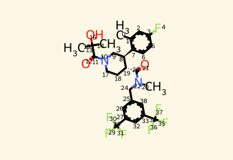 Cc1cc(F)ccc1[C@@H]1CN(C(=O)C(C)(C)O)CC[C@H]1C(=O)N(C)Cc1cc(C(F)(F)F)cc(C(F)(F)F)c1